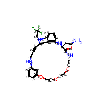 NCC[C@@H]1Nc2cccc3c2cc(n3CC(F)(F)F)C#CCNc2cccc(c2)OCCOCCOCCNC1=O